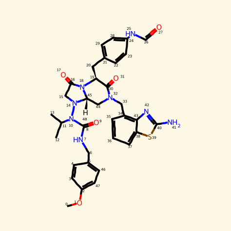 COc1ccc(CNC(=O)N(C(C)C)N2CC(=O)N3[C@@H](Cc4ccc(NC=O)cc4)C(=O)N(Cc4cccc5sc(N)nc45)C[C@@H]32)cc1